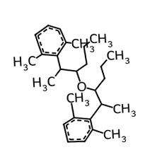 CCCC(OC(CCC)C(C)c1c(C)cccc1C)C(C)c1c(C)cccc1C